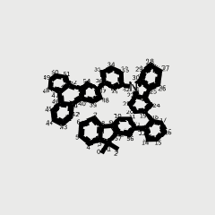 CC1(C)c2ccccc2-c2ccc(-c3ccccc3-c3ccc4c(c3)c3ccccc3n4-c3cccc(-c4ccc5c6ccccc6c6ccccc6c5c4)c3)cc21